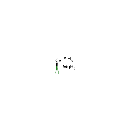 [AlH3].[Cl][Ce].[MgH2]